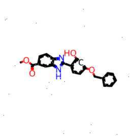 COC(=O)c1ccc2nc(-c3ccc(OCc4ccccc4)cc3O)[nH]c2c1